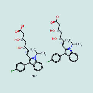 CC(C)n1c(/C=C/[C@H](O)C[C@H](O)CC(=O)O)c(-c2ccc(F)cc2)c2ccccc21.CC(C)n1c(/C=C/[C@H](O)C[C@H](O)CC(=O)[O-])c(-c2ccc(F)cc2)c2ccccc21.[Na+]